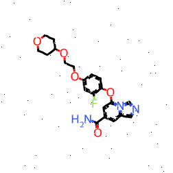 NC(=O)c1cc(Oc2ccc(OCCOC3CCOCC3)cc2F)n2cncc2c1